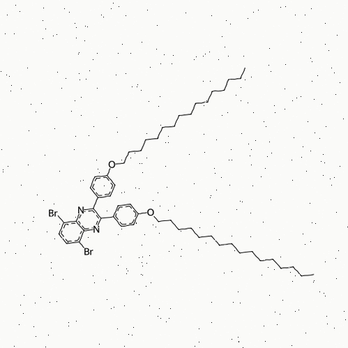 CCCCCCCCCCCCCCCCOc1ccc(-c2nc3c(Br)ccc(Br)c3nc2-c2ccc(OCCCCCCCCCCCCCCCC)cc2)cc1